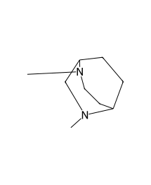 CN1CCC2CCC1CN2C